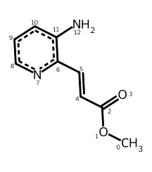 COC(=O)/C=C/c1ncccc1N